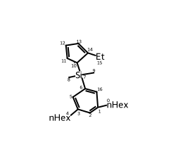 CCCCCCc1cc(CCCCCC)cc([Si](C)(C)[C]2C=CC=C2CC)c1